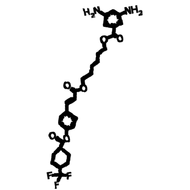 Nc1cc(N)cc(C(=O)OCCCCCCOC(=O)C=Cc2ccc(OC(=O)C3CCC(C(F)(F)F)CC3)cc2)c1